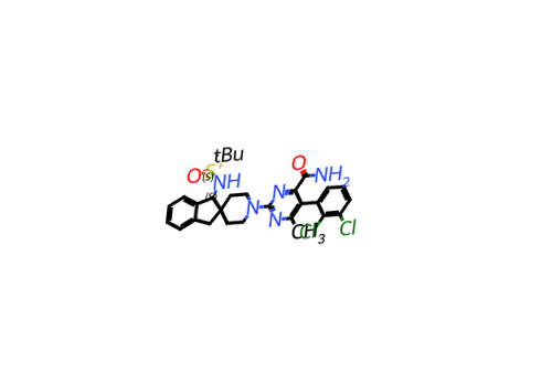 Cc1nc(N2CCC3(CC2)Cc2ccccc2[C@H]3N[S@+]([O-])C(C)(C)C)nc(C(N)=O)c1-c1cccc(Cl)c1Cl